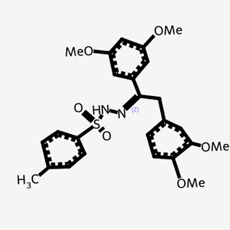 COc1cc(OC)cc(/C(Cc2ccc(OC)c(OC)c2)=N\NS(=O)(=O)c2ccc(C)cc2)c1